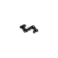 c1ccc2c(c1)c1ccccc1n2-c1ccc2oc3ccc(-c4ccc(-c5ccc6oc7ccc(-n8c9ccccc9c9ccccc98)cc7c6c5)cc4)cc3c2c1